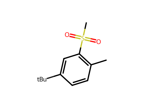 Cc1ccc(C(C)(C)C)cc1S(C)(=O)=O